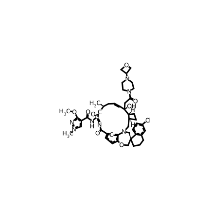 COc1nn(C)cc1C(=O)NS1(=O)=NC(=O)c2ccc3c(c2)N(C[C@@H]2CC[C@H]2[C@@](O)(CC(=O)N2CCN(C4COC4)CC2)/C=C/C[C@H](C)C1)C[C@@]1(CCCc2cc(Cl)ccc21)CO3